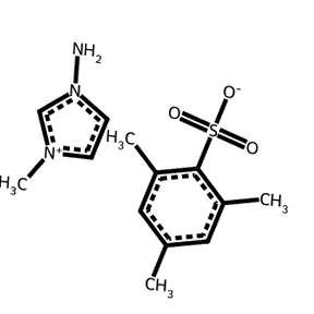 C[n+]1ccn(N)c1.Cc1cc(C)c(S(=O)(=O)[O-])c(C)c1